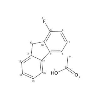 CC(=O)O.Fc1cccc2c1Cc1ccccc1-2